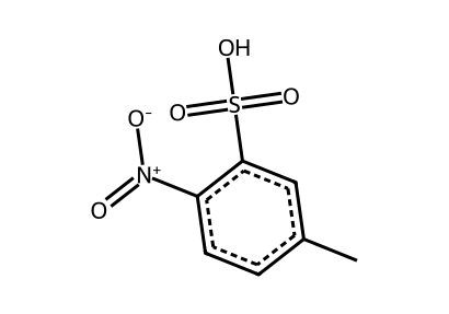 Cc1ccc([N+](=O)[O-])c(S(=O)(=O)O)c1